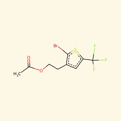 CC(=O)OCCc1cc(C(F)(F)F)sc1Br